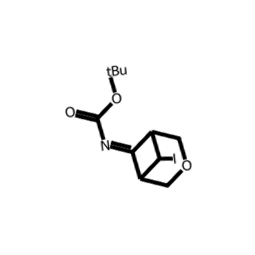 CC(C)(C)OC(=O)N=C1C2COCC1C2I